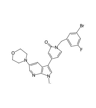 [CH2]n1cc(-c2ccn(Cc3cc(F)cc(Br)c3)c(=O)c2)c2cc(N3CCOCC3)cnc21